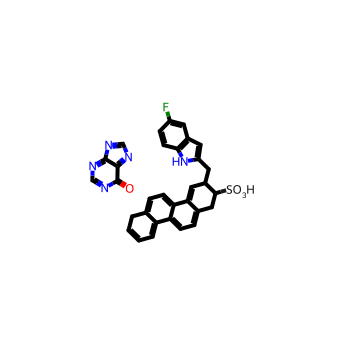 O=C1N=CN=C2N=CN=C12.O=S(=O)(O)C1Cc2ccc3c4c(ccc3c2=CC1Cc1cc2cc(F)ccc2[nH]1)CC=CC=4